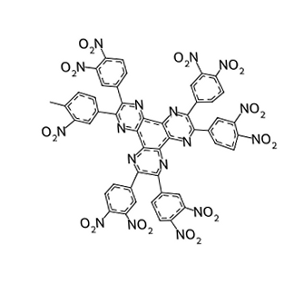 Cc1ccc(-c2nc3c(nc2-c2ccc([N+](=O)[O-])c([N+](=O)[O-])c2)c2nc(-c4ccc([N+](=O)[O-])c([N+](=O)[O-])c4)c(-c4ccc([N+](=O)[O-])c([N+](=O)[O-])c4)nc2c2nc(-c4ccc([N+](=O)[O-])c([N+](=O)[O-])c4)c(-c4ccc([N+](=O)[O-])c([N+](=O)[O-])c4)nc32)cc1[N+](=O)[O-]